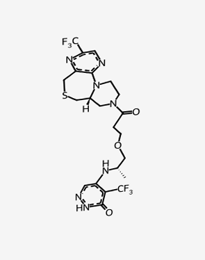 C[C@@H](COCCC(=O)N1CCN2c3ncc(C(F)(F)F)nc3CSC[C@H]2C1)Nc1cn[nH]c(=O)c1C(F)(F)F